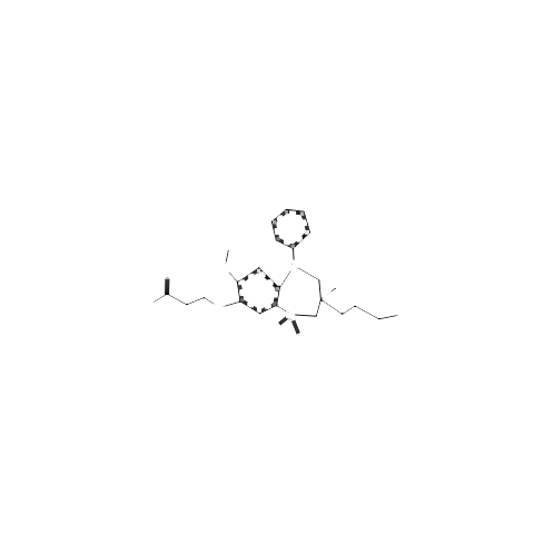 CCCC[C@@]1(C)CN(c2ccccc2)c2cc(SC)c(OCCC(=O)O)cc2S(=O)(=O)C1